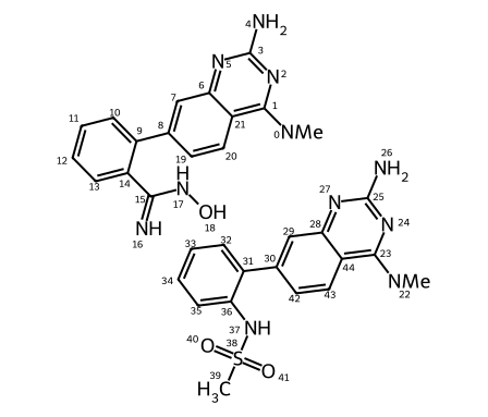 CNc1nc(N)nc2cc(-c3ccccc3C(=N)NO)ccc12.CNc1nc(N)nc2cc(-c3ccccc3NS(C)(=O)=O)ccc12